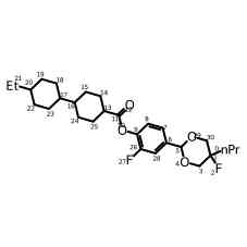 CCCC1(F)COC(c2ccc(OC(=O)C3CCC(C4CCC(CC)CC4)CC3)c(F)c2)OC1